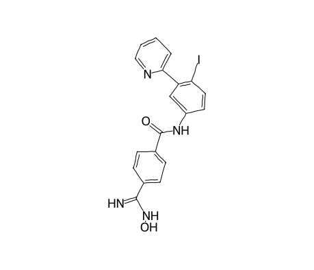 N=C(NO)c1ccc(C(=O)Nc2ccc(I)c(-c3ccccn3)c2)cc1